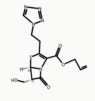 C=CCOC(=O)C1=C(CCn2cnnn2)S[C@@H]2[C@@H](CO)C(=O)N12